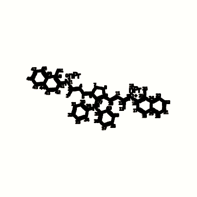 CCCN(/C(C)=C/C=C1\CCC(/C=C/C(C)=[N+](\CCC)c2ccc3ccccc3c2C)=C1N(c1ccccc1)c1ccccc1)c1ccc2ccccc2c1C